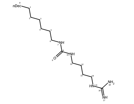 CCCCCCCCCCCCCCCCNC(=O)NCCCCNC(=N)N